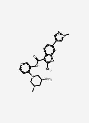 C[C@@H]1C[C@H](N)CN(c2ccncc2NC(=O)c2c(N)oc3cc(-c4cnn(C)c4)cnc23)C1